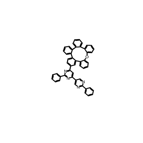 c1ccc(-c2ncc(-c3cc(-c4ccc5c(c4)-c4ccccc4Oc4ccccc4-c4ccccc4-c4ccccc4-5)nc(-c4ccccc4)n3)cn2)cc1